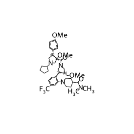 COC[C@H]1CN(C(=O)[C@]2(OC)CN(C3CCCC3)C[C@H]2c2ccc(OC)cc2)C[C@@H]1c1ccc(C(F)(F)F)cc1N1CCC(C(=O)N(C)C)CC1